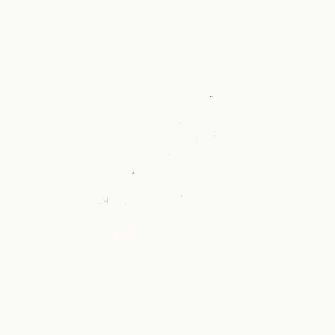 Oc1c(Br)cc(CCc2ccccc2)cc1Br